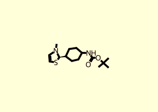 CN1C=CS[C@@H]1C1CCC(NC(=O)OC(C)(C)C)CC1